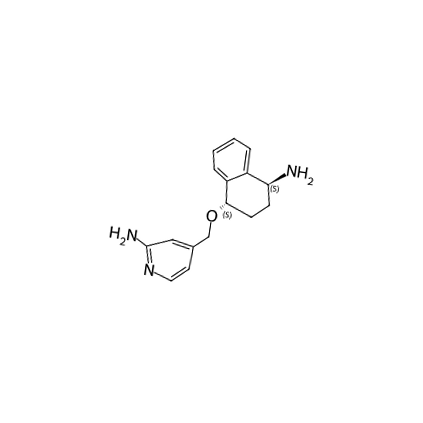 Nc1cc(CO[C@H]2CC[C@H](N)c3ccccc32)ccn1